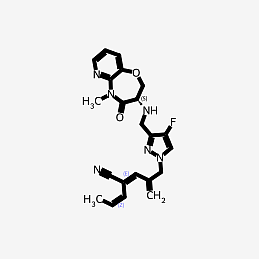 C=C(/C=C(C#N)\C=C/C)Cn1cc(F)c(CN[C@H]2COc3cccnc3N(C)C2=O)n1